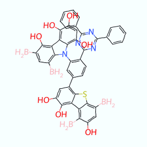 Bc1cc(B)c2c(c1O)c1c(O)c(O)cc(O)c1n2-c1cc(-c2cc(O)c(O)c3c2sc2c(B)cc(O)c(B)c23)ccc1-c1nc(-c2ccccc2)nc(-c2ccccc2)n1